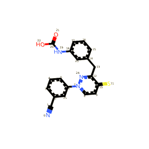 N#Cc1cccc(-n2ccc(=S)c(Cc3cccc(NC(=O)O)c3)n2)c1